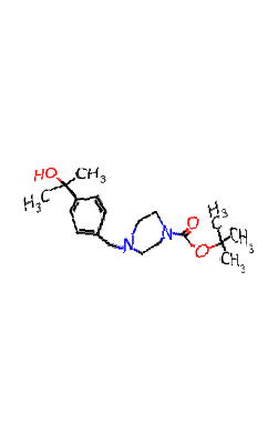 CC(C)(C)OC(=O)N1CCN(Cc2ccc(C(C)(C)O)cc2)CC1